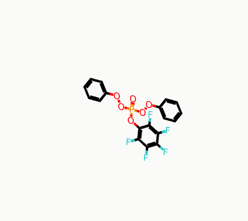 O=P(OOc1ccccc1)(OOc1ccccc1)Oc1c(F)c(F)c(F)c(F)c1F